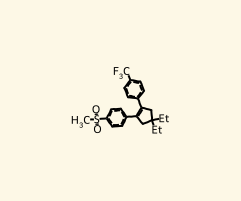 CCC1(CC)CC(c2ccc(C(F)(F)F)cc2)=C(c2ccc(S(C)(=O)=O)cc2)C1